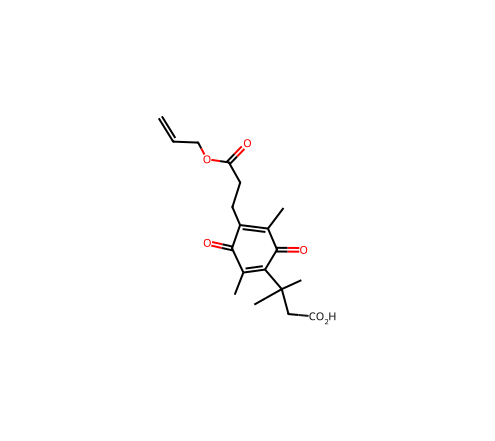 C=CCOC(=O)CCC1=C(C)C(=O)C(C(C)(C)CC(=O)O)=C(C)C1=O